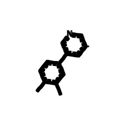 Cc1ccc(-c2c[c]cnc2)cc1C